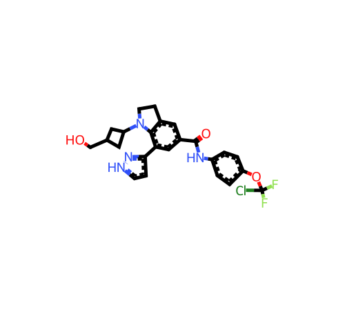 O=C(Nc1ccc(OC(F)(F)Cl)cc1)c1cc2c(c(-c3cc[nH]n3)c1)N(C1CC(CO)C1)CC2